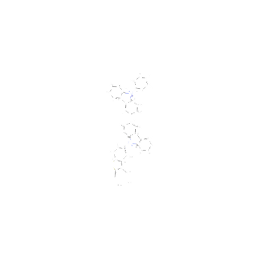 C1=c2sc3ccc(-n4c5ccccc5c5cc(-c6ccc7c(c6)c6ccccc6n7-c6ccccc6)ccc54)cc3c2=CCC1